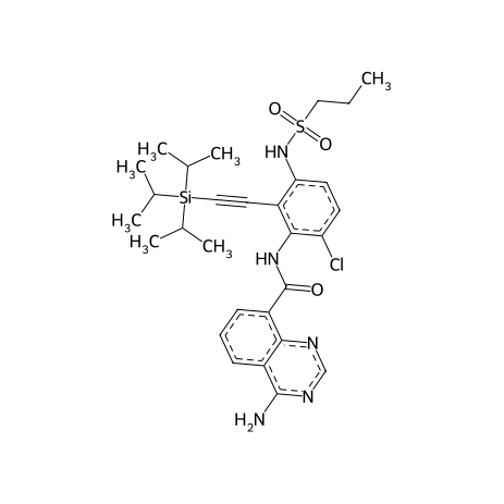 CCCS(=O)(=O)Nc1ccc(Cl)c(NC(=O)c2cccc3c(N)ncnc23)c1C#C[Si](C(C)C)(C(C)C)C(C)C